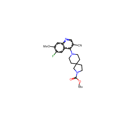 COc1cc2ncc(C#N)c(N3CCC4(CCN(C(=O)OC(C)(C)C)C4)CC3)c2cc1F